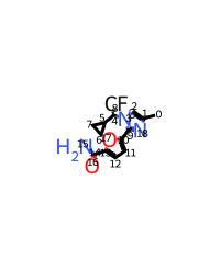 Cc1cn([C@@H](C2CC2)C(F)(F)F)c(-c2ccc(C(N)=O)o2)n1